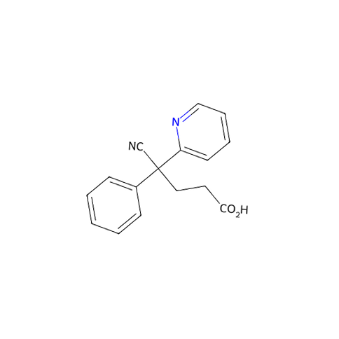 N#CC(CCC(=O)O)(c1ccccc1)c1ccccn1